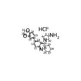 Cl.NC1CCN(c2c3c(nc4ccc(-c5ccc6c(c5)OCCO6)cc24)CCCC3)C1